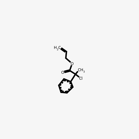 C=CCOC(=O)C(C)(Cl)c1ccccc1